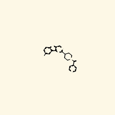 O=C(c1ccncc1)N1CCC(c2ncc3oc4ccc(Br)cc4c3n2)CC1